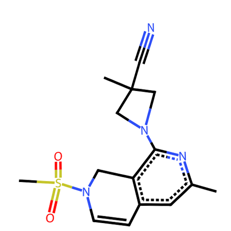 Cc1cc2c(c(N3CC(C)(C#N)C3)n1)CN(S(C)(=O)=O)C=C2